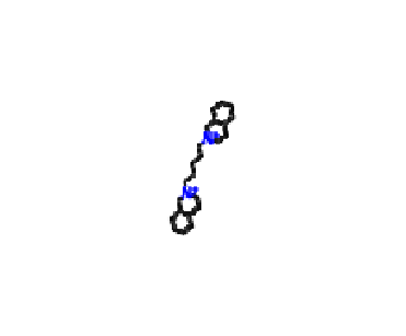 c1ccc2c[n+](CCCCC[n+]3ccc4ccccc4c3)ccc2c1